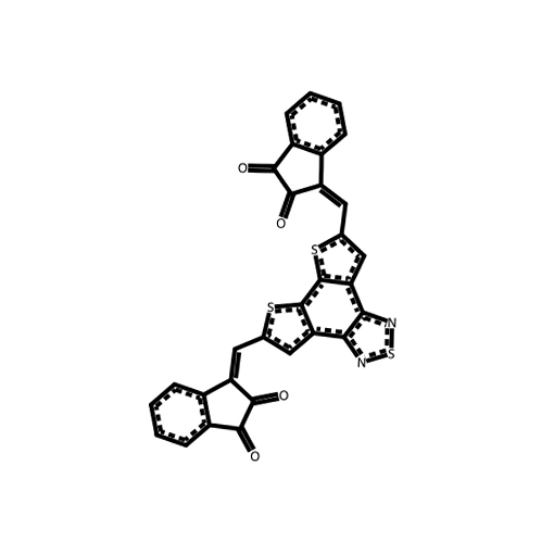 O=C1C(=O)c2ccccc2/C1=C/c1cc2c3nsnc3c3cc(/C=C4\C(=O)C(=O)c5ccccc54)sc3c2s1